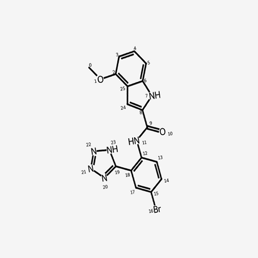 COc1cccc2[nH]c(C(=O)Nc3ccc(Br)cc3-c3nnn[nH]3)cc12